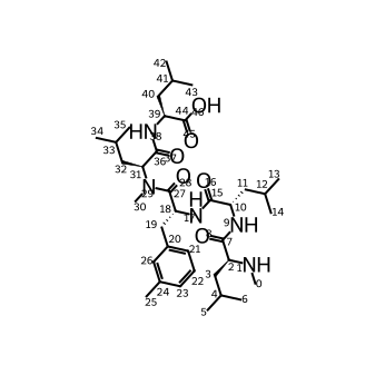 CN[C@@H](CC(C)C)C(=O)N[C@@H](CC(C)C)C(=O)N[C@H](Cc1cccc(C)c1)C(=O)N(C)[C@@H](CC(C)C)C(=O)N[C@@H](CC(C)C)C(=O)O